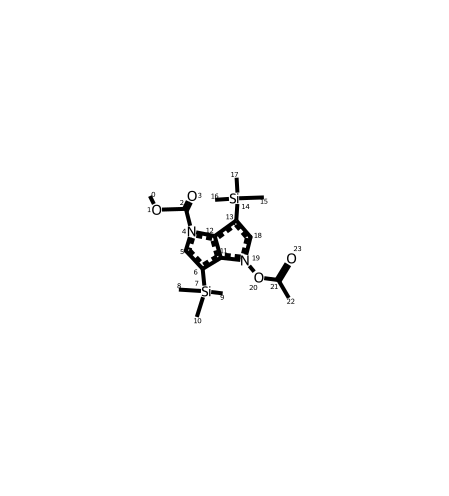 COC(=O)n1cc([Si](C)(C)C)c2c1c([Si](C)(C)C)cn2OC(C)=O